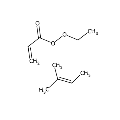 C=CC(=O)OOCC.CC=C(C)C